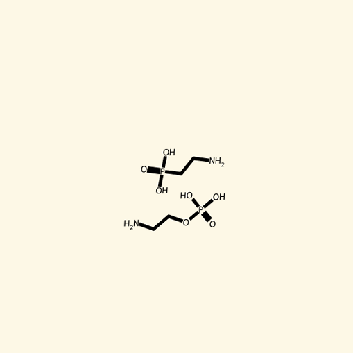 NCCOP(=O)(O)O.NCCP(=O)(O)O